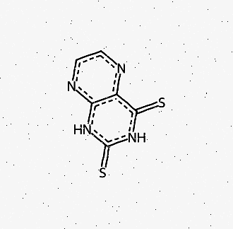 S=c1[nH]c(=S)c2nccnc2[nH]1